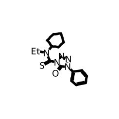 CCN(C(=S)n1nnn(-c2ccccc2)c1=O)C1CCCCC1